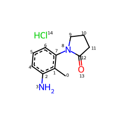 Cc1c(N)cccc1N1CCCC1=O.Cl